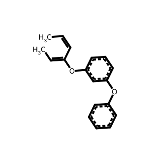 C/C=C\C(=C/C)Oc1cccc(Oc2ccccc2)c1